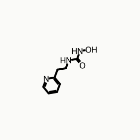 O=C(NO)NCCc1ccccn1